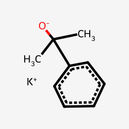 CC(C)([O-])c1ccccc1.[K+]